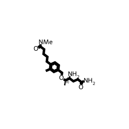 CNC(=O)CCCCc1ccc(CO[C@H](C)[C@@H](N)CCC(N)=O)cc1C